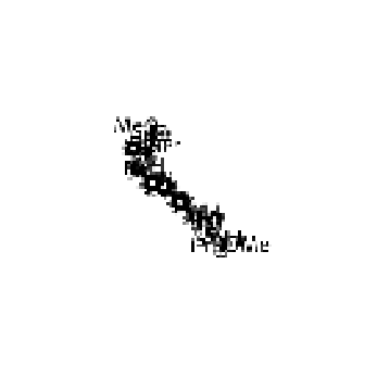 COC(=O)N[C@H](C(=O)N1CCC[C@H]1c1ncc(-c2ccc(-c3cnc4cc(-c5cnc([C@@H]6CCCN6C(=O)[C@@H](NC(=O)OC)C(C)C)[nH]5)ccc4c3)cc2)[nH]1)C(C)C